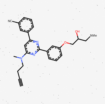 C#CCCN(C)c1cc(-c2cccc(C#N)c2)nc(-c2cccc(OCC(O)CNC)c2)n1